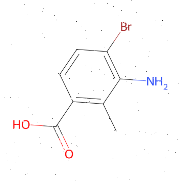 Cc1c(C(=O)O)ccc(Br)c1N